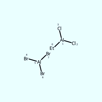 C[CH2][Al]([Cl])[Cl].[Br][Al]([Br])[Br]